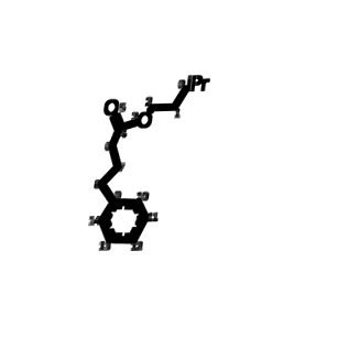 CC(C)CCOC(=O)CCCc1ccccc1